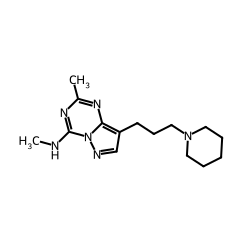 CNc1nc(C)nc2c(CCCN3CCCCC3)cnn12